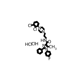 Cc1c(C(=O)NCCCN2CCN(c3cccc(Cl)c3Cl)CC2)nc(-c2ccccc2)n1-c1ccc(F)cc1.Cl.Cl